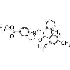 COC(=O)c1ccc2c(c1)CCN2CC(C(=O)c1c(C)cc(C)cc1C)c1ccccc1